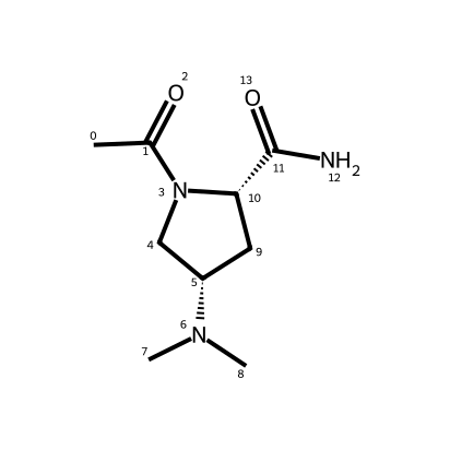 CC(=O)N1C[C@@H](N(C)C)C[C@H]1C(N)=O